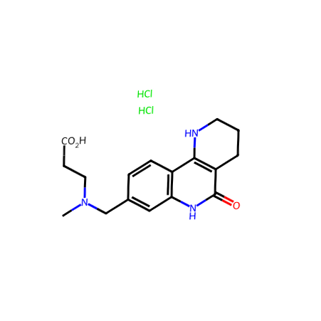 CN(CCC(=O)O)Cc1ccc2c3c(c(=O)[nH]c2c1)CCCN3.Cl.Cl